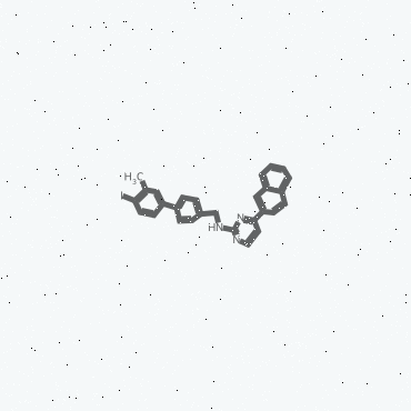 Cc1cc(-c2ccc(CNc3nccc(-c4ccc5ccccc5c4)n3)cc2)ccc1I